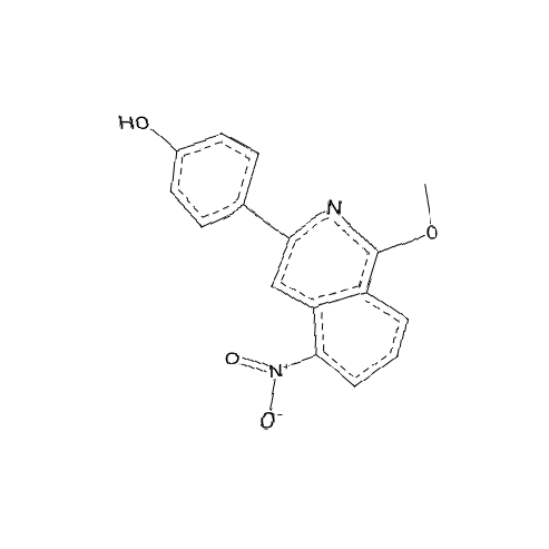 COc1nc(-c2ccc(O)cc2)cc2c([N+](=O)[O-])cccc12